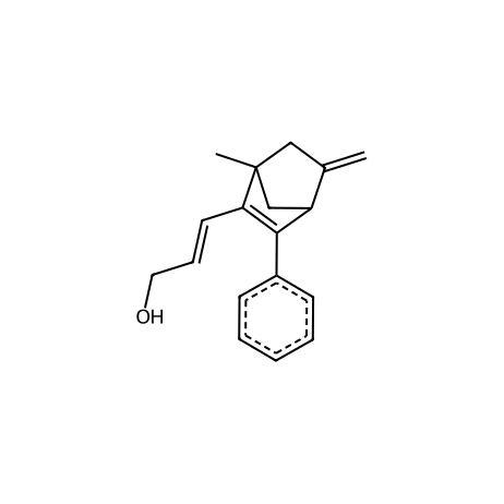 C=C1CC2(C)CC1C(c1ccccc1)=C2C=CCO